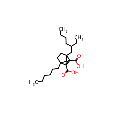 CCCCCCC12CCC(CC(CC)CCCC)(C1)C(C(=O)O)=C2C(=O)O